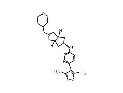 Cc1noc(C)c1-c1ccc(N[C@H]2C[C@@H]3CN(CC4CCOCC4)C[C@@H]3C2)nn1